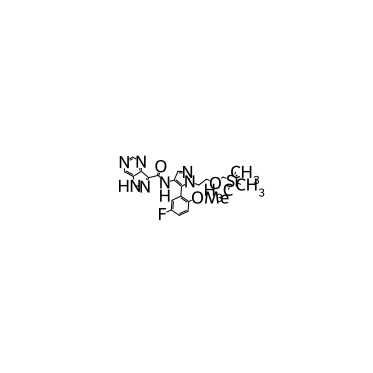 COc1ccc(F)cc1-c1c(NC(=O)c2n[nH]c3cncnc23)cnn1CCOC[Si](C)(C)C